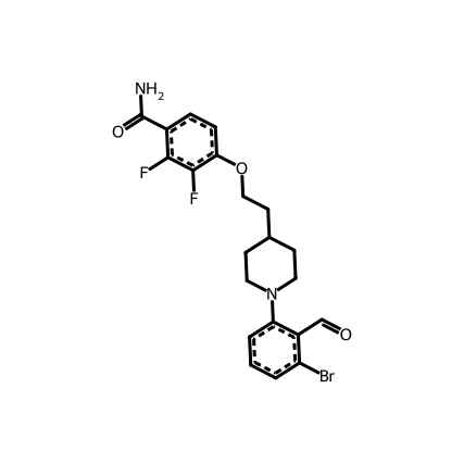 NC(=O)c1ccc(OCCC2CCN(c3cccc(Br)c3C=O)CC2)c(F)c1F